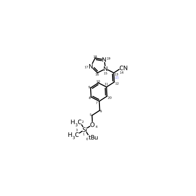 CC(C)(C)[Si](C)(C)OCCc1cccc(/C=C(/C#N)n2cncn2)c1